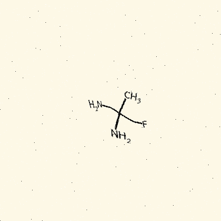 CC(N)(N)F